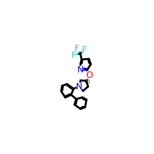 FC(F)(F)c1ccc(O[C@@H]2CCN(c3ccccc3-c3ccccc3)C2)nc1